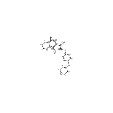 O=C(NCc1ccc(CN2CCOCC2)cc1)c1c[nH]c2ccccc2c1=O